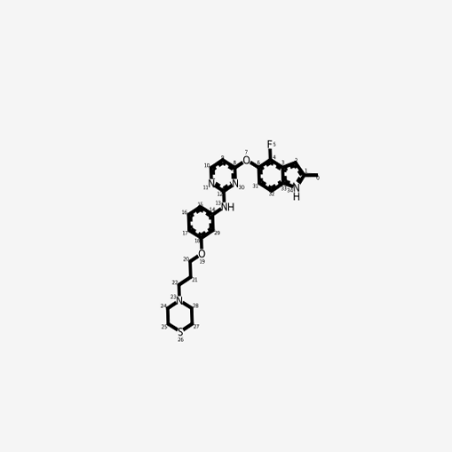 Cc1cc2c(F)c(Oc3ccnc(Nc4cccc(OCCCN5CCSCC5)c4)n3)ccc2[nH]1